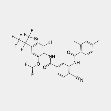 Cc1ccc(C(=O)Nc2cc(C(=O)Nc3c(Cl)cc(C(F)(C(F)(F)F)C(F)(F)Br)cc3OC(F)F)ccc2C#N)c(C)c1